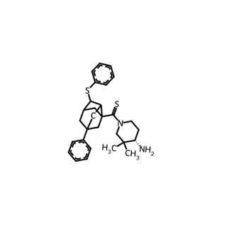 CC1(C)CN(C(=S)C23CC4CC(c5ccccc5)(CC2C4Sc2ccccc2)C3)CC[C@@H]1N